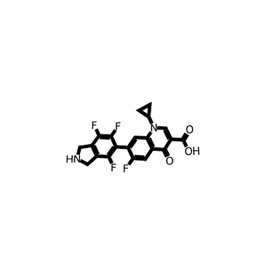 O=C(O)c1cn(C2CC2)c2cc(-c3c(F)c(F)c4c(c3F)CNC4)c(F)cc2c1=O